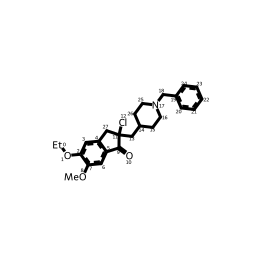 CCOc1cc2c(cc1OC)C(=O)C(Cl)(CC1CCN(Cc3ccccc3)CC1)C2